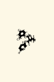 O=C(Nc1ccc(F)nc1)c1cc(C(F)(F)F)nnc1Oc1ccc(F)cc1Cl